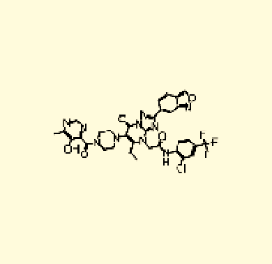 CCc1c(N2CCN(C(=O)c3ncnc(C)c3O)CC2)c(=O)n2nc(-c3ccc4conc4c3)nc2n1CC(=O)Nc1ccc(C(F)(F)F)cc1Cl